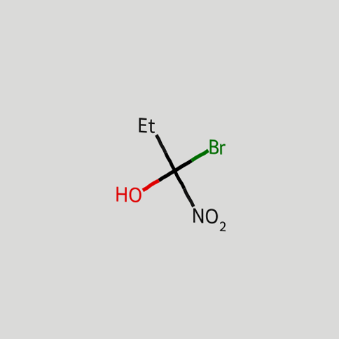 CCC(O)(Br)[N+](=O)[O-]